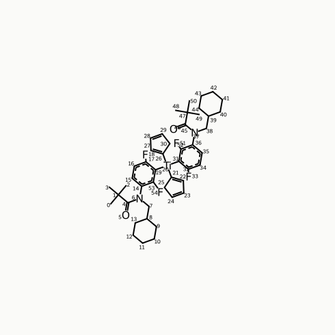 CC(C)(C)C(=O)N(CC1CCCCC1)c1ccc(F)[c]([Ti]([C]2=CC=CC2)([C]2=CC=CC2)[c]2c(F)ccc(N(CC3CCCCC3)C(=O)C(C)(C)C)c2F)c1F